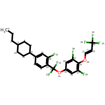 CCCC1CCC(c2ccc(C(F)(F)Oc3cc(F)c(O/C=C/C(F)(F)F)c(F)c3)c(F)c2)CC1